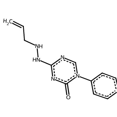 C=CCNNc1ncn(-c2ccncc2)c(=O)n1